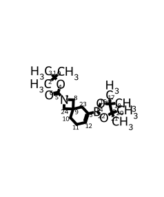 CC(C)(C)OC(=O)N1CC2(CCC=C(B3OC(C)(C)C(C)(C)O3)C2)C1